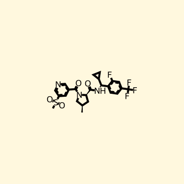 C[C@@H]1C[C@H](C(=O)N[C@@H](c2ccc(C(F)(F)F)cc2F)C2CC2)N(C(=O)c2cncc(S(C)(=O)=O)c2)C1